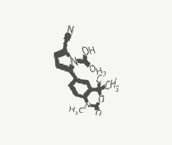 CN1C(=O)OC(C)(C)c2cc(-c3ccc(C#N)n3C(=O)O)ccc21